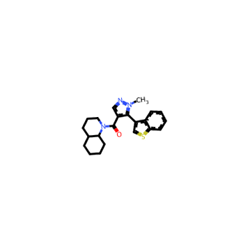 Cn1ncc(C(=O)N2CCCC3CCCCC32)c1-c1csc2ccccc12